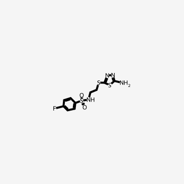 Nc1nnc(SCCNS(=O)(=O)c2ccc(F)cc2)s1